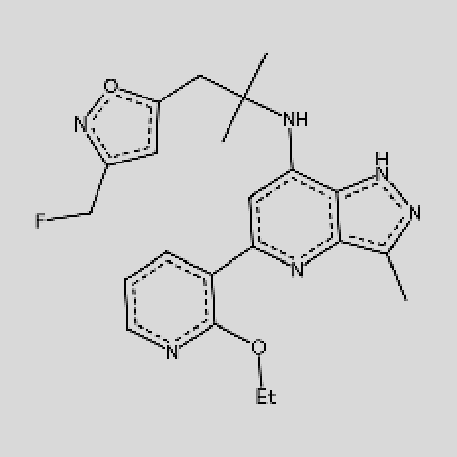 CCOc1ncccc1-c1cc(NC(C)(C)Cc2cc(CF)no2)c2[nH]nc(C)c2n1